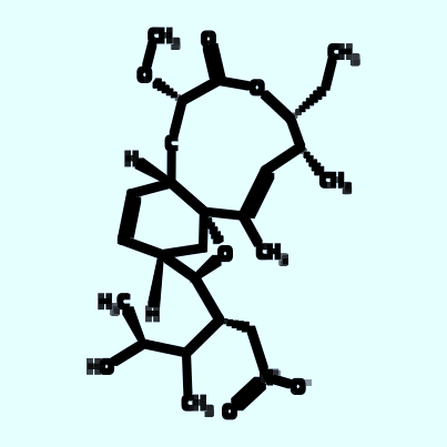 CC[C@H]1OC(=O)[C@@H](OC)C[C@H]2C=C[C@@H]3C[C@]2(O[C@H]3[C@H](C[N+](=O)[O-])C(C)[C@H](C)O)/C(C)=C/[C@H]1C